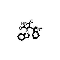 Cn1cc(C2=C(n3ccc4ccccc43)C(=O)NC2=O)c2ccccc21